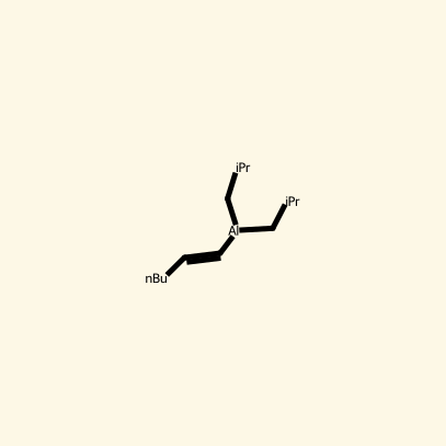 CCCC/C=[CH]/[Al]([CH2]C(C)C)[CH2]C(C)C